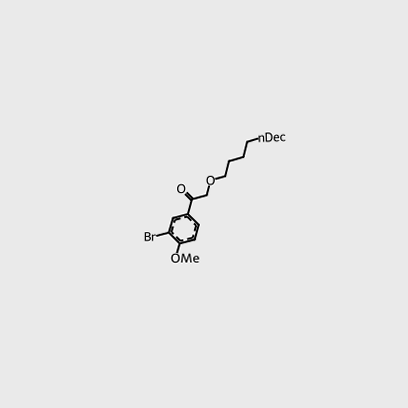 CCCCCCCCCCCCCCOCC(=O)c1ccc(OC)c(Br)c1